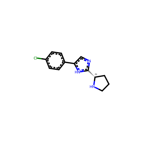 Clc1ccc(-c2cnc([C@@H]3CCCN3)[nH]2)cc1